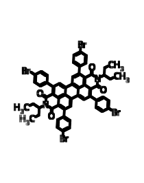 CCC(CC)N1C(=O)c2c(-c3ccc(Br)cc3)cc3c4cc(-c5ccc(Br)cc5)c5c6c(c(-c7ccc(Br)cc7)cc(c7cc(-c8ccc(Br)cc8)c(c2c37)C1=O)c64)C(=O)N(C(CC)CC)C5=O